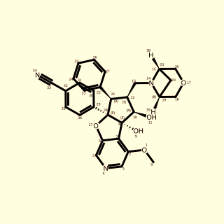 COc1cncc2c1[C@]1(O)[C@H](O)[C@H](CN3[C@@H]4COC[C@H]3C4)[C@H](c3ccccc3)[C@]1(c1ccc(C#N)cc1)O2